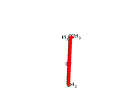 CCCCCCCCC=CCCCCCCCCCCCC(=O)OCCCCCCCCCCCCCCCCCCCCCCCCCC(C)CC